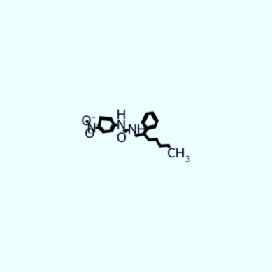 CCCCCC(CNC(=O)Nc1ccc([N+](=O)[O-])cc1)c1ccccc1